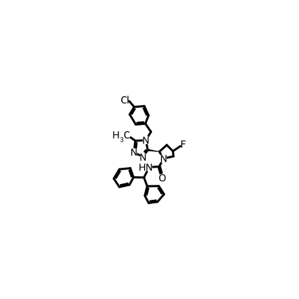 Cc1nnc([C@H]2CC(F)CN2C(=O)NC(c2ccccc2)c2ccccc2)n1Cc1ccc(Cl)cc1